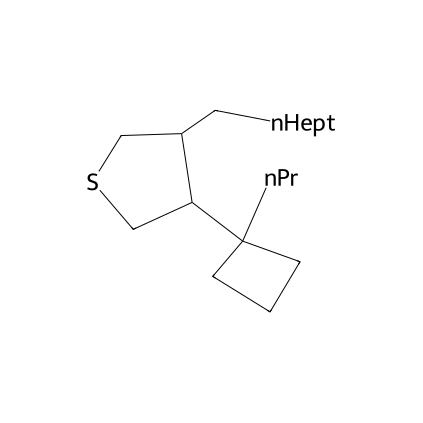 CCCCCCCCC1CSCC1C1(CCC)CCC1